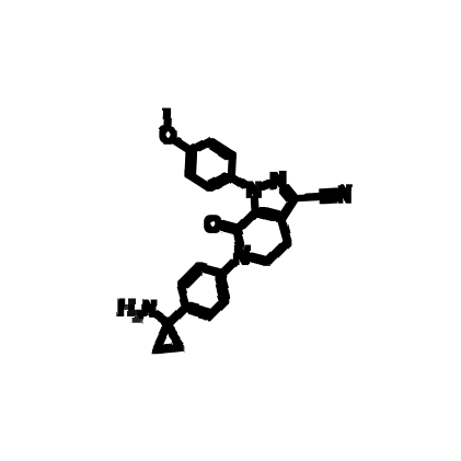 COc1ccc(-n2nc(C#N)c3c2C(=O)N(c2ccc(C4(N)CC4)cc2)CC3)cc1